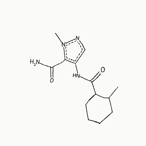 CC1CCCCC1C(=O)Nc1cnn(C)c1C(N)=O